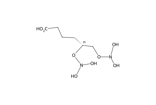 O=C(O)CCC[C@H](CON(O)O)ON(O)O